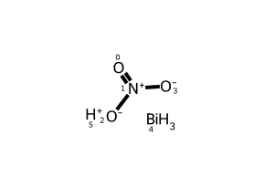 O=[N+]([O-])[O-].[BiH3].[H+]